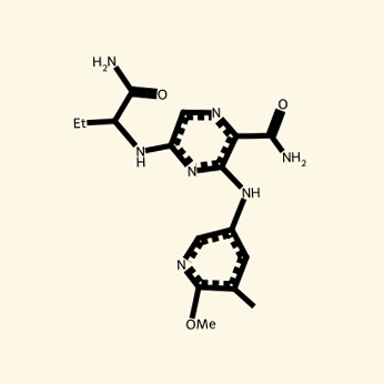 CCC(Nc1cnc(C(N)=O)c(Nc2cnc(OC)c(C)c2)n1)C(N)=O